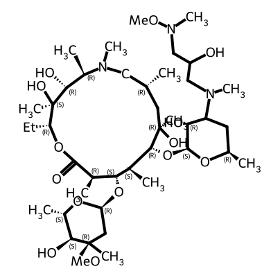 CC[C@H]1OC(=O)[C@H](C)[C@@H](O[C@H]2C[C@@](C)(OC)[C@@H](O)[C@H](C)O2)[C@H](C)[C@@H](O[C@@H]2O[C@H](C)CC(N(C)CC(O)CN(C)OC)[C@H]2O)[C@](C)(O)C[C@@H](C)CN(C)[C@H](C)[C@@H](O)[C@]1(C)O